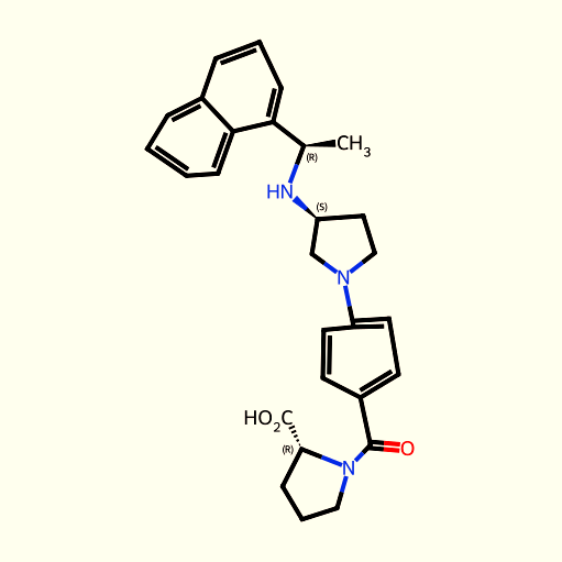 C[C@@H](N[C@H]1CCN(c2ccc(C(=O)N3CCC[C@@H]3C(=O)O)cc2)C1)c1cccc2ccccc12